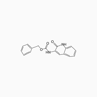 O=C(Nc1cc2ccccc2[nH]c1=O)OCc1ccccc1